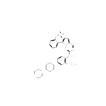 COc1cc([C@H]2CC[C@@H](N3CCOCC3)CC2)ccc1Nc1ncc2ccc(-c3ccccc3N(C)S(C)(=O)=O)n2n1